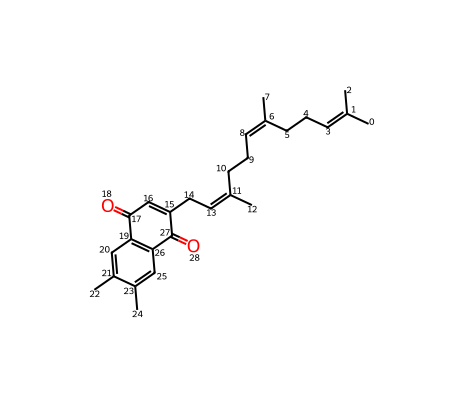 CC(C)=CCCC(C)=CCCC(C)=CCC1=CC(=O)c2cc(C)c(C)cc2C1=O